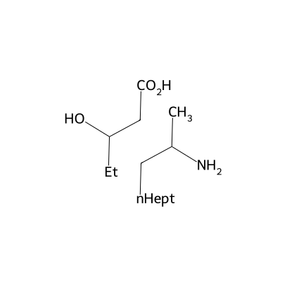 CCC(O)CC(=O)O.CCCCCCCCC(C)N